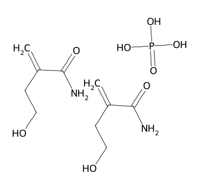 C=C(CCO)C(N)=O.C=C(CCO)C(N)=O.O=P(O)(O)O